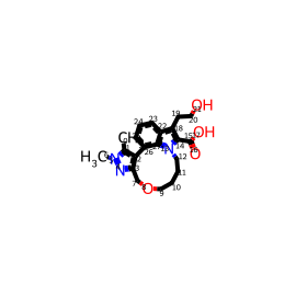 Cc1c2c(nn1C)COCCCCn1c(C(=O)O)c(CCO)c3cccc-2c31